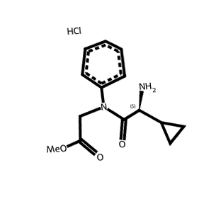 COC(=O)CN(C(=O)[C@@H](N)C1CC1)c1ccccc1.Cl